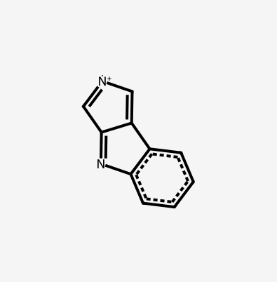 C1=[N+]C=C2C1=Nc1ccccc12